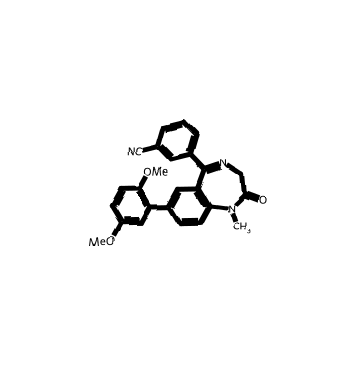 COc1ccc(OC)c(-c2ccc3c(c2)C(c2cccc(C#N)c2)=NCC(=O)N3C)c1